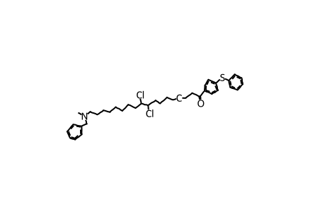 CN(CCCCCCCCC(Cl)C(Cl)CCCCCCCC(=O)c1ccc(Sc2ccccc2)cc1)Cc1ccccc1